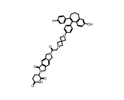 O=C1CCC(N2Cc3cc4c(cc3C2=O)CN(C(=O)CN2CC3(C2)CN(c2ccc(C5=C(c6ccc(F)cc6)CCCc6cc(O)ccc65)cc2)C3)C4)C(=O)N1